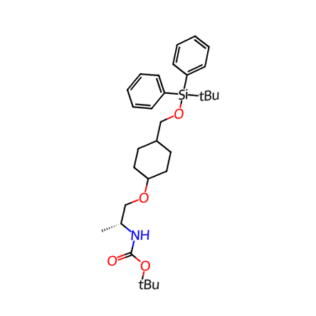 C[C@H](COC1CCC(CO[Si](c2ccccc2)(c2ccccc2)C(C)(C)C)CC1)NC(=O)OC(C)(C)C